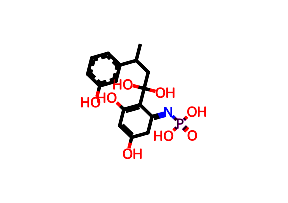 CC(CC(O)(O)C1=C(O)C=C(O)CC1=NP(=O)(O)O)c1cccc(O)c1